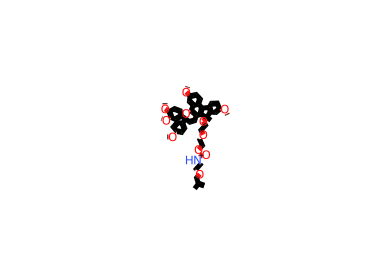 C=C(C)COCCNC(=O)OCCOCCOC1(C)c2cc(OC)ccc2-c2c1c1c(c3cc(OC)ccc23)OC(c2ccc(OC)cc2)(c2ccc(OC)c(OC)c2)C=C1